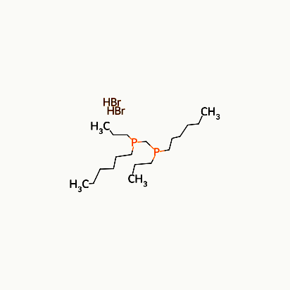 Br.Br.CCCCCCP(CCC)CP(CCC)CCCCCC